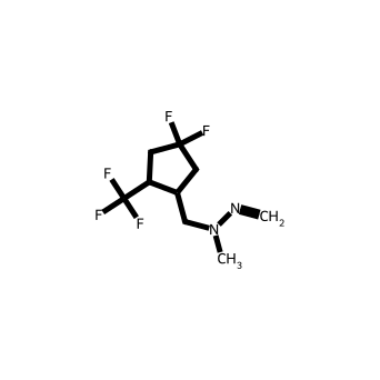 C=NN(C)CC1CC(F)(F)CC1C(F)(F)F